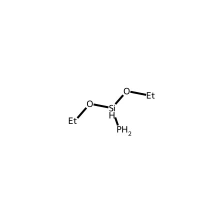 CCO[SiH](P)OCC